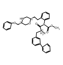 COC(=O)N(C(=O)[C@@H](N)Cc1cccc(-c2ccccc2)c1)c1ccccc1CC[C@@H]1CN[C@H](COc2ccccc2)CO1